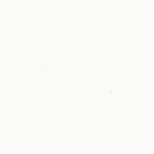 CCC(C)C1CCC(OC(=O)/C=C/C(=O)OC(C)C)CC1